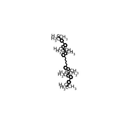 CC1=Cc2c(CCCCCc3cccc4c3C=C(C)C4[Si](C)(C)C3C(C)=Cc4c(-c5ccc(C(C)(C)C)cc5)cccc43)cccc2C1[Si](C)(C)C1C(C)=Cc2c(-c3ccc(C(C)(C)C)cc3)cccc21